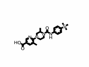 Cc1cc(C(=O)O)cnc1N1CCN(C(=O)Nc2ccc([Si](C)(C)C)cc2)C(C)C1